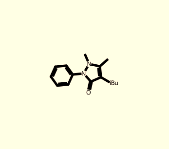 CCC(C)c1c(C)n(C)n(-c2ccccc2)c1=O